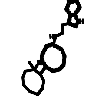 CC1(N)CCCCCCCC1c1cccccc(NCCc2c[nH]c3ccncc23)ccc1